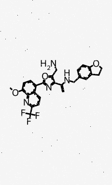 C=C(NCc1ccc2c(c1)CCO2)c1nc(-c2ccc(OC)c3nc(C(F)(F)F)ccc23)oc1CN